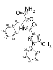 Cc1cc(C(=O)NC(Cc2ccccc2)C(=O)C(N)=O)nn1-c1ccccc1